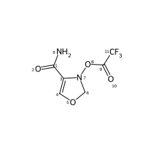 NC(=O)C1=COCN1OC(=O)C(F)(F)F